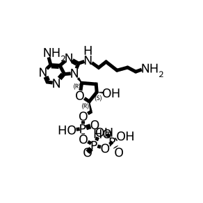 NCCCCCNc1nc2c(N)ncnc2n1[C@H]1C[C@H](O)[C@@H](COP(=O)(O)OP(=O)(O)OP(=O)(O)O)O1